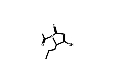 CCCC1C(O)=CC(=O)N1C(C)=O